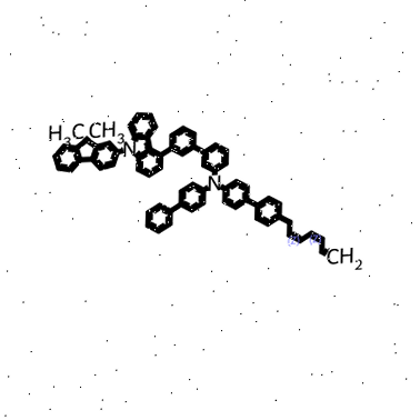 C=C/C=C\C=C/Cc1ccc(-c2ccc(N(c3ccc(-c4ccccc4)cc3)c3cccc(-c4cccc(-c5cccc6c5c5ccccc5n6-c5ccc6c(c5)C(C)(C)c5ccccc5-6)c4)c3)cc2)cc1